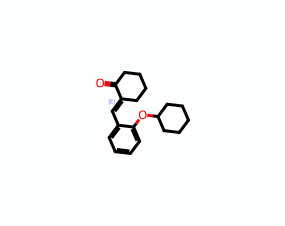 O=C1CCCC/C1=C\c1ccccc1OC1CCCCC1